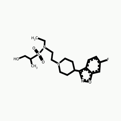 CCN(CCN1CCC(c2noc3cc(F)ccc23)CC1)S(=O)(=O)C(C)CO